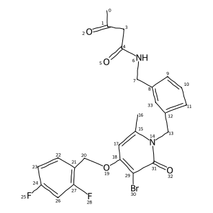 CC(=O)CC(=O)NCc1cccc(Cn2c(C)cc(OCc3ccc(F)cc3F)c(Br)c2=O)c1